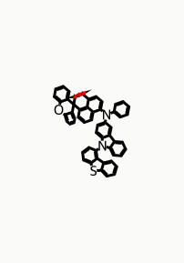 c1ccc(N(c2ccc3c(c2)c2ccccc2n3-c2cccc3sc4ccccc4c23)c2ccc3c4c(cccc24)C2(c4ccccc4Oc4ccccc42)c2ccccc2-3)cc1